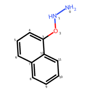 NNOc1cccc2ccccc12